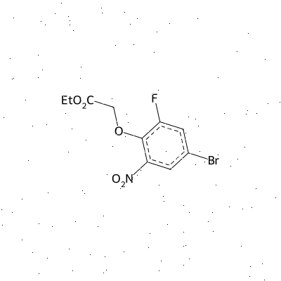 CCOC(=O)COc1c(F)cc(Br)cc1[N+](=O)[O-]